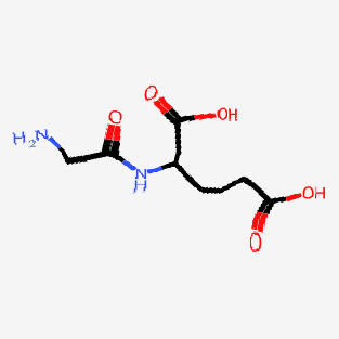 NCC(=O)NC(CCC(=O)O)C(=O)O